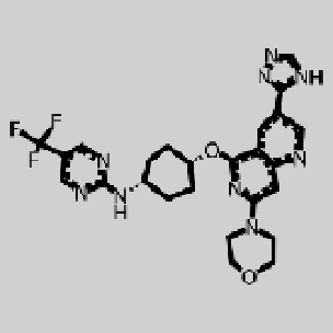 FC(F)(F)c1cnc(N[C@H]2CC[C@@H](Oc3nc(N4CCOCC4)cc4ncc(-c5nnc[nH]5)cc34)CC2)nc1